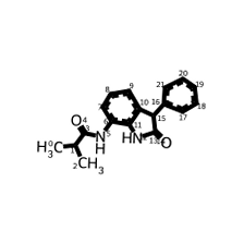 CC(C)C(=O)Nc1cccc2c1NC(=O)C2c1ccccc1